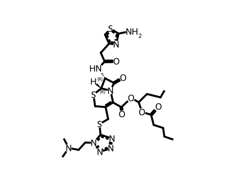 CCCCC(=O)OC(CCC)OC(=O)C1=C(CSc2nnnn2CCN(C)C)CS[C@@H]2[C@H](NC(=O)Cc3csc(N)n3)C(=O)N12